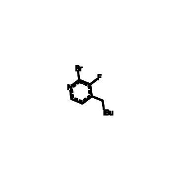 C[CH]C(C)Cc1ccnc(Br)c1F